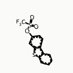 O=S(=O)(Oc1ccc2c(c1)sc1ccccc12)C(F)(F)F